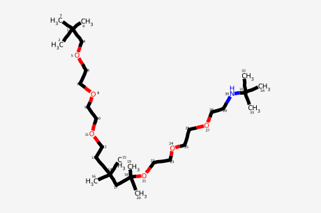 CC(C)(C)COCCOCCOCCC(C)(C)CC(C)(C)OCCOCCOCCNC(C)(C)C